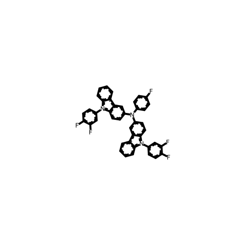 Fc1ccc(N(c2ccc3c(c2)c2ccccc2n3-c2ccc(F)c(F)c2)c2ccc3c(c2)c2ccccc2n3-c2ccc(F)c(F)c2)cc1